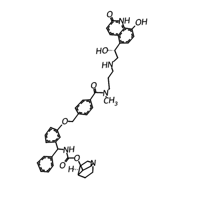 CN(CCCNC[C@H](O)c1ccc(O)c2[nH]c(=O)ccc12)C(=O)c1ccc(COc2cccc(C(NC(=O)O[C@H]3CN4CCC3CC4)c3ccccc3)c2)cc1